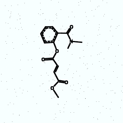 COC(=O)/C=C/C(=O)Oc1ccccc1C(=O)N(C)C